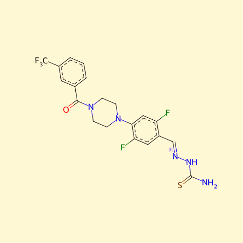 NC(=S)N/N=C/c1cc(F)c(N2CCN(C(=O)c3cccc(C(F)(F)F)c3)CC2)cc1F